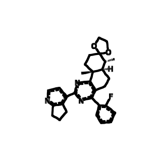 C[C@@H]1[C@H]2CCc3c(-c4ccccc4F)nc(-c4ccnc5c4CCC5)nc3[C@]2(C)CCC12OCCO2